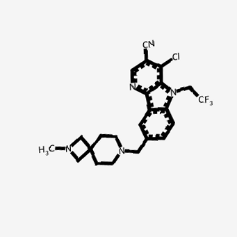 CN1CC2(CCN(Cc3ccc4c(c3)c3ncc(C#N)c(Cl)c3n4CC(F)(F)F)CC2)C1